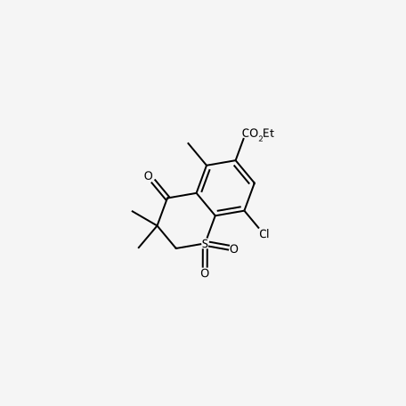 CCOC(=O)c1cc(Cl)c2c(c1C)C(=O)C(C)(C)CS2(=O)=O